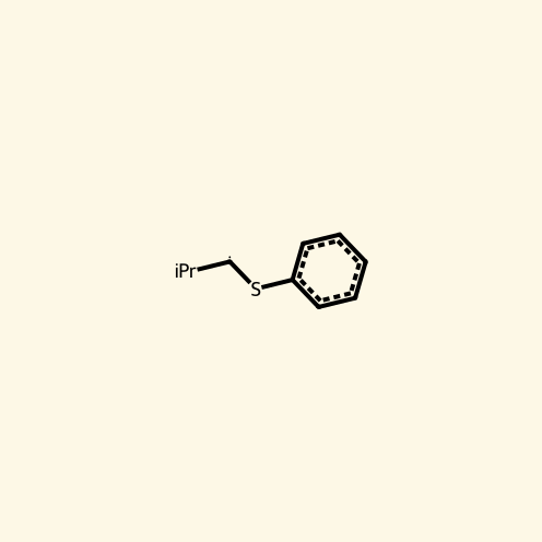 CC(C)[CH]Sc1ccccc1